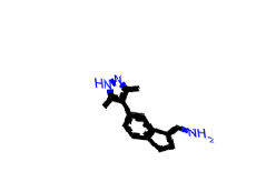 Cc1n[nH]c(C)c1-c1ccc2c(c1)C(CN)CC2